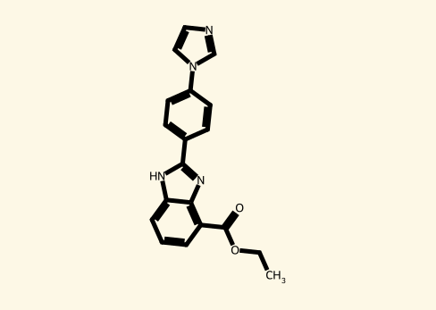 CCOC(=O)c1cccc2[nH]c(-c3ccc(-n4ccnc4)cc3)nc12